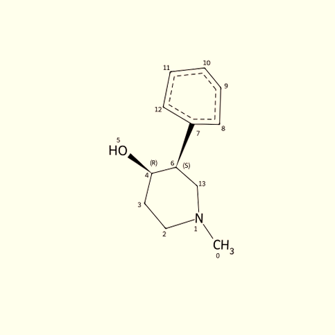 CN1CC[C@@H](O)[C@@H](c2ccccc2)C1